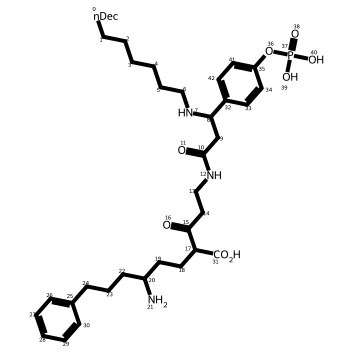 CCCCCCCCCCCCCCCCNC(CC(=O)NCCC(=O)C(CCC(N)CCCc1ccccc1)C(=O)O)c1ccc(OP(=O)(O)O)cc1